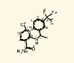 CC(Nc1nc(Cl)ncc1C(N)=O)c1cccc(C(F)(F)F)c1